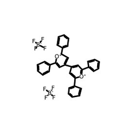 F[B-](F)(F)F.F[B-](F)(F)F.c1ccc(-c2cc(-c3cc(-c4ccccc4)[o+]c(-c4ccccc4)c3)cc(-c3ccccc3)[o+]2)cc1